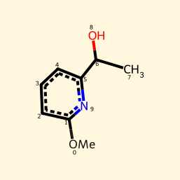 COc1cccc(C(C)O)n1